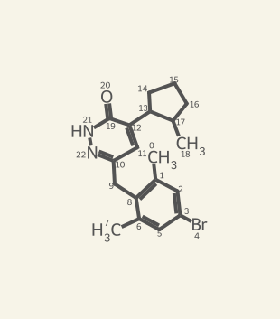 Cc1cc(Br)cc(C)c1Cc1cc(C2CCCC2C)c(=O)[nH]n1